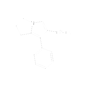 CCCCCc1cn2c(c1-c1ccccc1)CCC2